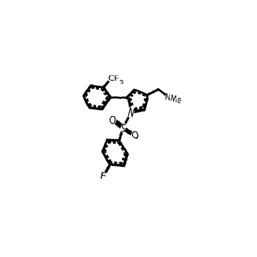 CNCc1cc(-c2ccccc2C(F)(F)F)n(S(=O)(=O)c2ccc(F)cc2)c1